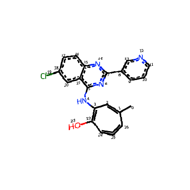 CC1=CC(Nc2nc(-c3cccnc3)nc3ccc(Cl)cc23)=C(O)C=C=C1